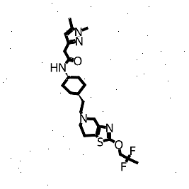 Cc1cc(CC(=O)N[C@H]2CC[C@H](CCN3CCc4sc(OCC(C)(F)F)nc4C3)CC2)nn1C